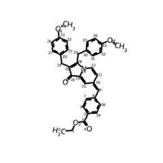 CCOC(=O)c1ccc(C=C2C=CN3C(=C2)C(=O)C(Cc2ccc(OC)cc2)=C3Cc2ccc(OC)cc2)cc1